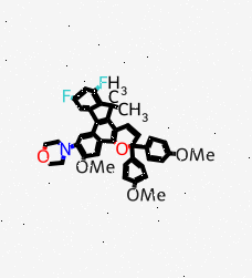 COc1ccc(C2(c3ccc(OC)cc3)C=Cc3c4c(c5cc(N6CCOCC6)c(OC)cc5c3O2)-c2cc(F)cc(F)c2C4(C)C)cc1